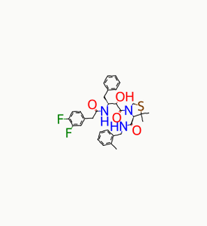 Cc1ccccc1CNC(=O)[C@H]1N(C(=O)[C@@H](O)[C@H](Cc2ccccc2)NC(=O)Cc2ccc(F)c(F)c2)CSC1(C)C